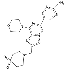 Nc1ncc(-c2cn3cc(CN4CCS(=O)(=O)CC4)nc3c(N3CCOCC3)n2)cn1